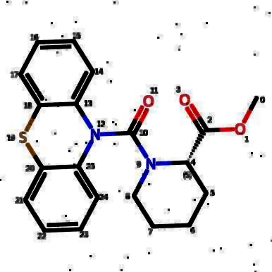 COC(=O)[C@@H]1CCCCN1C(=O)N1c2ccccc2Sc2ccccc21